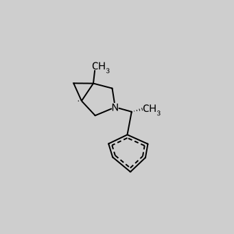 C[C@H](c1ccccc1)N1C[C]2CC2(C)C1